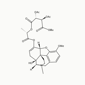 COc1ccc2c3c1O[C@H]1C(OC(=O)[C@H](C)OC(=O)[C@H](OC(C)=O)[C@@H](OC(C)=O)C(=O)OCC(C)C)=CC[C@@]4(O)[C@@H](C2)N(C)CC[C@]314